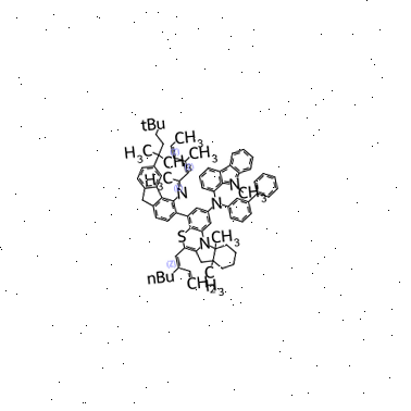 C=C/C(=C\C1=C2CC3(C)CCCCC3(C)N2c2cc(N(c3cccc(-c4ccccc4)c3)c3cccc4c5ccccc5n(C)c34)cc(-c3ccc4c(c3/N=C(C)/C=C(C)\C=C/C)-c3cc(C(C)(C)CCC(C)(C)C)ccc3C4)c2S1)CCCC